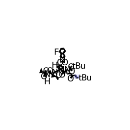 C=CC1CC1(NC(=O)C1C[C@@H](OC(=O)N2Cc3cccc(F)c3C2)CN1C(=O)[C@H](CCC(=O)/C=C/C(C)(C)C)NC(=O)OC(C)(C)C)C(=O)NS(=O)(=O)C1CC1